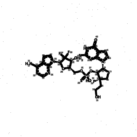 Nc1nc2c(nnn2[C@@H]2SC[C@@](F)(CCO)[C@H]2OP(O)(=S)OC[C@H]2O[C@@H](n3ccc4c(N)ncnc43)C(F)(F)[C@@H]2O)c(=O)[nH]1